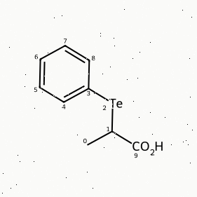 CC([Te]c1ccccc1)C(=O)O